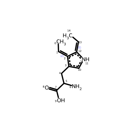 C/C=c1/c(CC(N)C(=O)O)c[nH]/c1=C/C